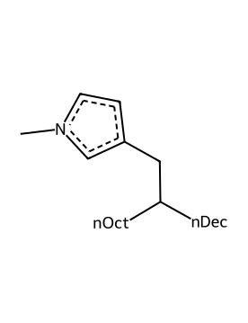 CCCCCCCCCCC(CCCCCCCC)Cc1ccn(C)c1